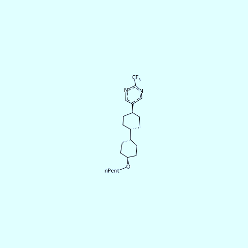 CCCCCO[C@H]1CC[C@H]([C@H]2CC[C@H](c3cnc(C(F)(F)F)nc3)CC2)CC1